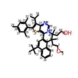 COCCC1(C)c2c(cc(C(C)(C)C)c3ccccc23)-c2c3sc(-c4c(C)cc(C)cc4C)c(C(C)C)c3nc[n+]2C1(C)CCO